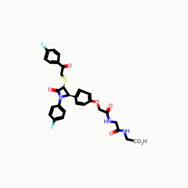 O=C(O)CNC(=O)CNC(=O)COc1ccc([C@@H]2[C@@H](SCC(=O)c3ccc(F)cc3)C(=O)N2c2ccc(F)cc2)cc1